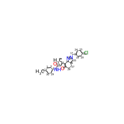 Cc1ccc(NC(=O)c2oc3c(c2C)-c2nn(Cc4ccc(Cl)cc4)cc2CC3)cc1